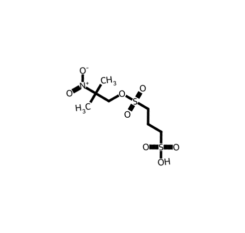 CC(C)(COS(=O)(=O)CCCS(=O)(=O)O)[N+](=O)[O-]